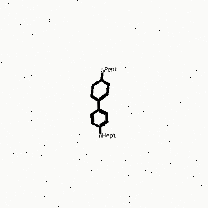 CCCCCCCc1ccc(C2=CCC(CCCCC)CC2)cc1